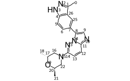 Cc1n[nH]c2ccc(-c3cnc4ccc(N5C[C@@H](C)O[C@H](C)C5)nn34)cc12